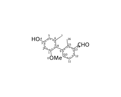 COc1cc(O)cc(C)c1-c1cccc(C=O)c1C